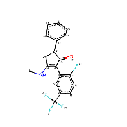 CNC1=C(c2cc(C(F)(F)F)ccc2F)C(=O)C(c2ccccc2)C1